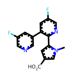 Cn1cc(C(=O)O)cc1-c1ncc(F)cc1-c1cncc(F)c1